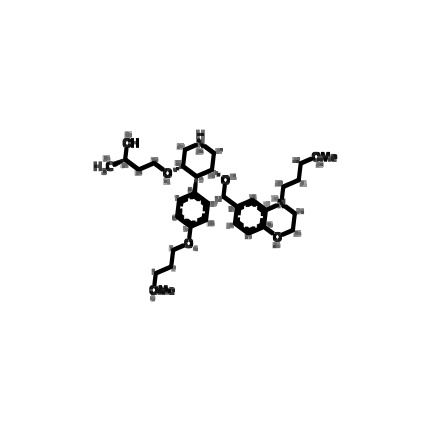 COCCCOc1ccc([C@@H]2[C@@H](OCc3ccc4c(c3)N(CCCOC)CCO4)CNC[C@H]2OCC[C@@H](C)O)cc1